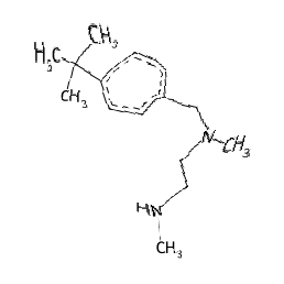 CNCCN(C)Cc1ccc(C(C)(C)C)cc1